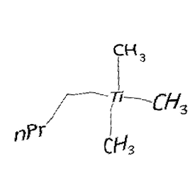 CCC[CH2][Ti]([CH3])([CH3])[CH3]